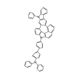 c1ccc(N(c2ccccc2)c2ccc(-c3ccc(-n4c5cccc6c5c5c7c(cccc7ccc54)-c4cc5c7ccccc7n(-c7ccccc7)c5cc4-6)cc3)cc2)cc1